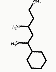 [SiH3]CCC([SiH3])CC([SiH3])C1CCCCC1